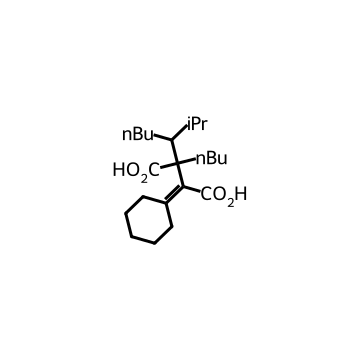 CCCCC(C(C)C)C(CCCC)(C(=O)O)C(C(=O)O)=C1CCCCC1